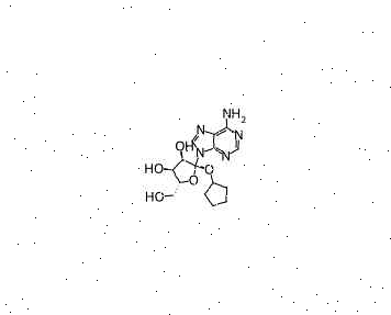 Nc1ncnc2c1ncn2[C@]1(OC2CCCC2)O[C@H](CO)[C@@H](O)[C@H]1O